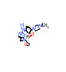 CC(C)Oc1cc(Nc2ncc3ccn(CC4CCCO4)c3n2)ccc1N1CCN(C)CC1